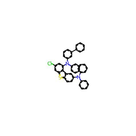 Clc1cc(N(c2ccccc2)c2cccc(-c3ccccc3)c2)c2c(c1)sc1ccc(N(c3ccccc3)c3ccccc3)cc12